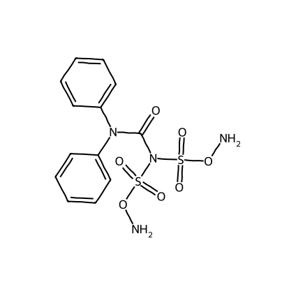 NOS(=O)(=O)N(C(=O)N(c1ccccc1)c1ccccc1)S(=O)(=O)ON